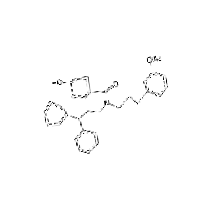 CC(=O)Oc1cccc(CCCN(CCC(c2ccccc2)c2ccccc2)C(=O)c2ccc(O)cc2)c1